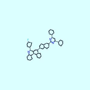 Fc1ccc(-c2nc3ccccc3c3c2cc(-c2ccc4cc(-c5nc(-c6ccccc6)cc(-c6ccccc6)n5)ccc4c2)c2ccccc23)cc1